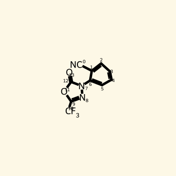 N#Cc1ccccc1-n1nc(C(F)(F)F)oc1=O